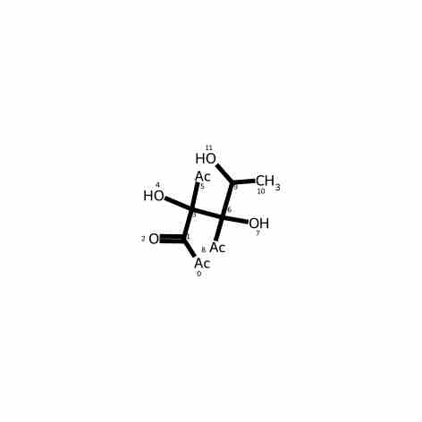 CC(=O)C(=O)C(O)(C(C)=O)C(O)(C(C)=O)C(C)O